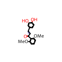 COc1cccc(OC)c1C(=O)/C=C/c1ccc(O)c(O)c1